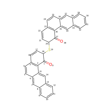 O=C1c2c(ccc3cc4ccccc4cc23)C=CC1SC1C=Cc2ccc3cc4ccccc4cc3c2C1=O